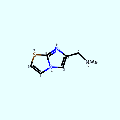 CNCc1cn2ccsc2n1